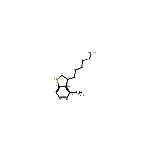 CCCCCCC1CSc2cccc(C)c21